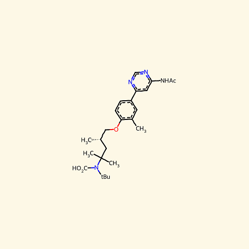 CC(=O)Nc1cc(-c2ccc(OC[C@@H](C)CC(C)(C)N(C(=O)O)C(C)(C)C)c(C)c2)ncn1